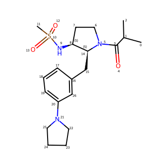 CC(C)C(=O)N1CC[C@H](NS(C)(=O)=O)[C@@H]1Cc1cccc(N2CCCC2)c1